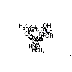 CN[C@@H](CC(C)C)C(=O)N1CCC(N(CCNS(C)(=O)=O)S(=O)(=O)c2cccc(C(F)(F)F)c2)CC1.O=C(O)/C=C/C(=O)O